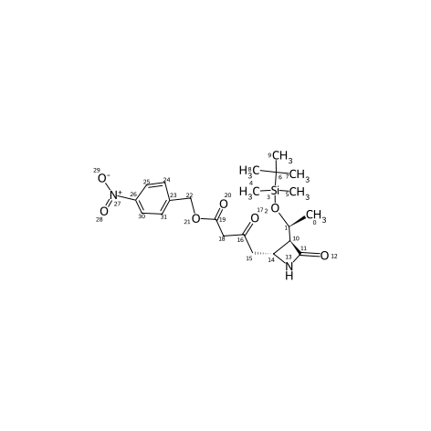 C[C@H](O[Si](C)(C)C(C)(C)C)[C@H]1C(=O)N[C@@H]1CC(=O)CC(=O)OCc1ccc([N+](=O)[O-])cc1